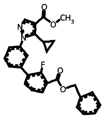 COC(=O)c1cnn(-c2cccc(-c3cccc(C(=O)OCc4ccccc4)c3F)c2)c1C1CC1